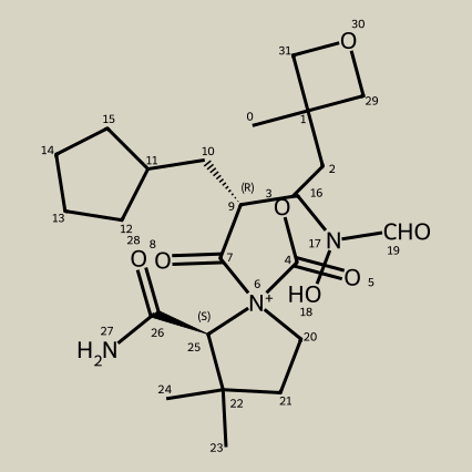 CC1(COC(=O)[N+]2(C(=O)[C@H](CC3CCCC3)CN(O)C=O)CCC(C)(C)[C@H]2C(N)=O)COC1